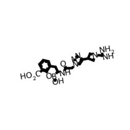 N=C(N)N1CC(c2cn(CC(=O)NC3Cc4cccc(C(=O)O)c4OB3O)nn2)C1